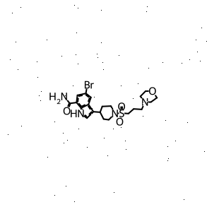 NC(=O)c1cc(Br)cc2c(C3CCN(S(=O)(=O)CCCN4CCOCC4)CC3)c[nH]c12